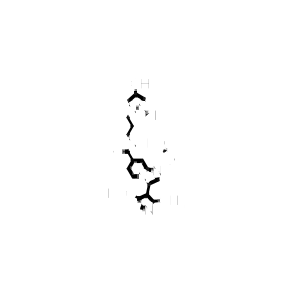 Cc1cn(CCCNC(=O)c2ccn3c(-c4c(C)noc4C)cnc3c2)[n+](C)c1.O=C[O-]